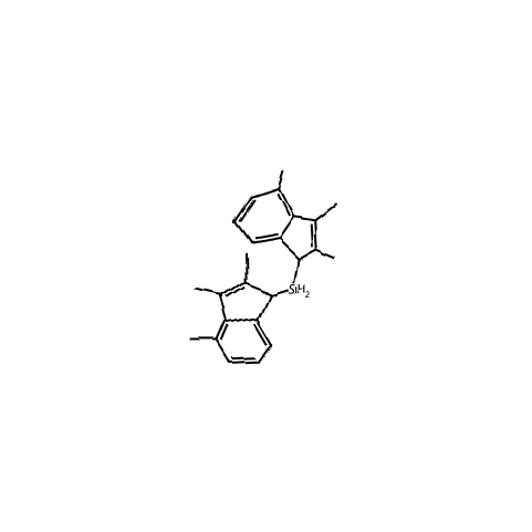 CC1=C(C)c2c(C)cccc2[C]1[SiH2][C]1C(C)=C(C)c2c(C)cccc21